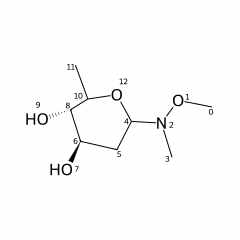 CON(C)C1C[C@@H](O)[C@H](O)C(C)O1